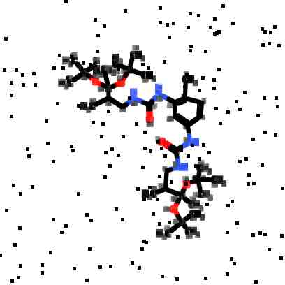 Cc1ccc(NC(=O)NCC(C)[Si](C)(O[Si](C)(C)C)O[Si](C)(C)C)cc1NC(=O)NCC(C)[Si](C)(O[Si](C)(C)C)O[Si](C)(C)C